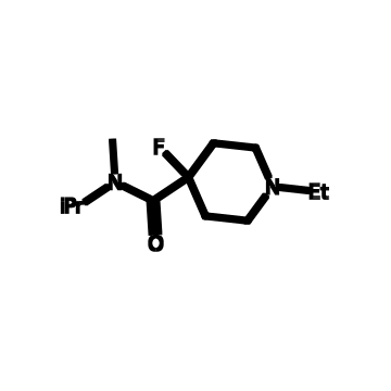 CCN1CCC(F)(C(=O)N(C)C(C)C)CC1